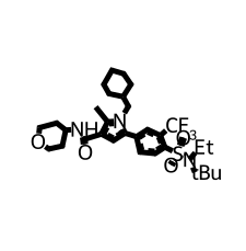 CCN(C(C)(C)C)S(=O)(=O)c1ccc(-c2cc(C(=O)NC3CCOCC3)c(C)n2CC2CCCCC2)cc1C(F)(F)F